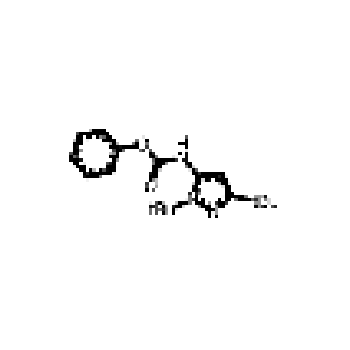 CC(C)(C)c1cc(NC(=O)Oc2ccccc2)n(C(C)(C)C)n1